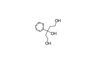 OCCC(O)(CCO)c1ccccc1